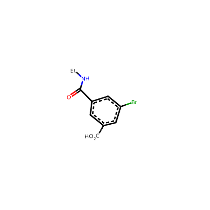 CCNC(=O)c1cc(Br)cc(C(=O)O)c1